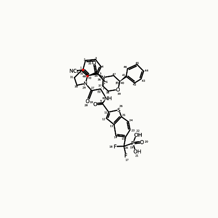 N#Cc1cccc(C[C@H](NC(=O)c2cc3cc(C(F)(F)P(=O)(O)O)ccc3s2)C(=O)N2CCC[C@H]2C(=O)N2CCO[C@H](c3ccccc3)C2)c1